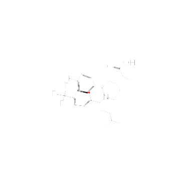 CC(C)CC[C@H](c1ccc(C(F)(F)F)cc1)N1CC[C@@H](C(C)C(=O)O)C[C@H]1c1ccc(I)cc1